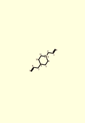 C=C[CH]N1CCC(CC=C)CC1